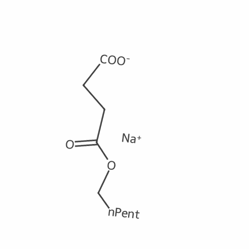 CCCCCCOC(=O)CCC(=O)[O-].[Na+]